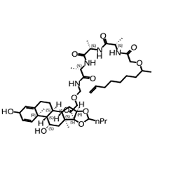 C=CCCCCCC(C)OCC(=O)N[C@@H](C)C(=O)N[C@@H](C)C(=O)N[C@@H](C)C(=O)NCOCC(=O)[C@@]12OC(CCC)O[C@@H]1C[C@H]1[C@@H]3CCC4=CC(O)C=C[C@]4(C)[C@H]3[C@@H](O)C[C@@]12C